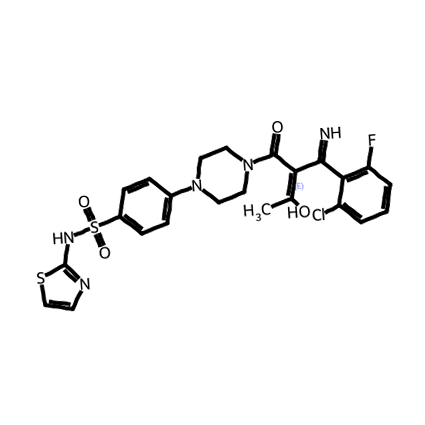 C/C(O)=C(/C(=N)c1c(F)cccc1Cl)C(=O)N1CCN(c2ccc(S(=O)(=O)Nc3nccs3)cc2)CC1